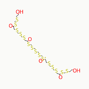 O=C(CSCSCSCC[S+]([O-])CSCSCSCSC(=O)CSCSCSCC(=O)SCSCCO)SCSCCO